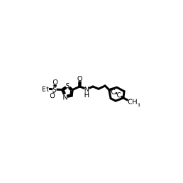 CCS(=O)(=O)c1ncc(C(=O)NCCCC23CCC(C)(CC2)CC3)s1